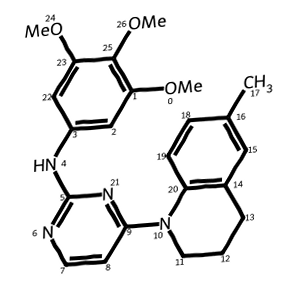 COc1cc(Nc2nccc(N3CCCc4cc(C)ccc43)n2)cc(OC)c1OC